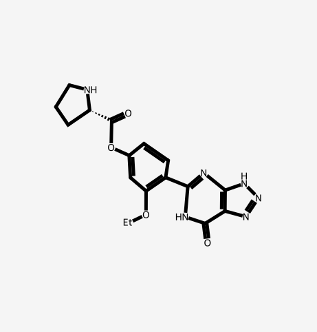 CCOc1cc(OC(=O)[C@@H]2CCCN2)ccc1-c1nc2[nH]nnc2c(=O)[nH]1